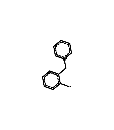 [CH2]c1ccccc1C[n+]1ccccc1